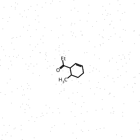 CCC(=O)C1C=CCCC1C